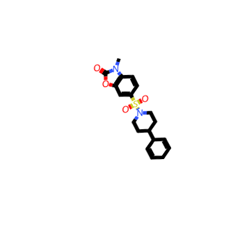 Cn1c(=O)oc2cc(S(=O)(=O)N3CCC(C4C=CCC=C4)CC3)ccc21